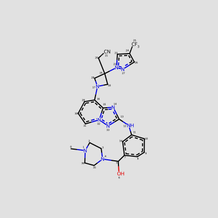 CN1CCN(C(O)c2cccc(Nc3nc4c(N5CC(CC#N)(n6cc(C(F)(F)F)cn6)C5)cccn4n3)c2)CC1